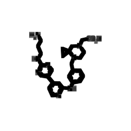 NCCCNc1ncc(-c2ccnc(Nc3cccc(CN4CCN(CC(=O)O)CC45CC5)c3)c2)cn1